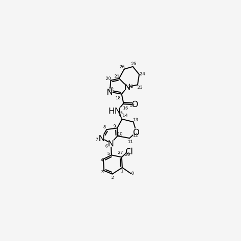 Cc1cccc(-n2ncc3c2COC[C@@H]3NC(=O)c2ncc3n2CCCC3)c1Cl